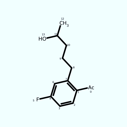 CC(=O)c1ccc(F)cc1CCCC(C)O